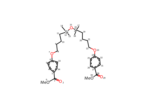 COC(=O)c1ccc(OCCCC[Si](C)(C)O[Si](C)(C)CCCCOc2ccc(C(=O)OC)cc2)cc1